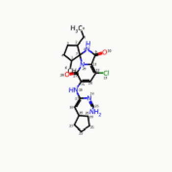 CCC1CCC(C)C12NC(=O)c1c(Cl)cc(NC(=C/C3CCCC3)/N=C\N)c(=O)n12